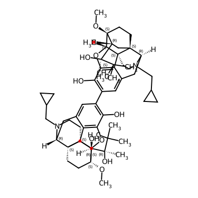 CO[C@]12CC[C@@]3(C[C@]1(O)[C@](C)(O)C(C)(C)C)[C@H]1Cc4cc(-c5cc6c7c(c5O)O[C@@]5(C)[C@]78CCN(CC7CC7)[C@H](C6)[C@]86CC[C@]5(OC)[C@@H]([C@](C)(O)C(C)(C)C)C6)c(O)c5c4[C@@]3(CCN1CC1CC1)[C@H]2O5